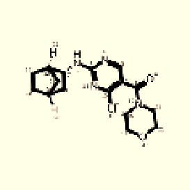 O=C(c1cnc(N[C@@H]2C[C@@H]3CC[C@@H]2C3)nc1C(F)(F)F)N1CCOCC1